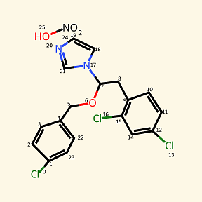 Clc1ccc(COC(Cc2ccc(Cl)cc2Cl)n2ccnc2)cc1.O=[N+]([O-])O